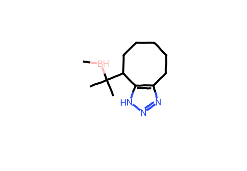 CBC(C)(C)C1CCCCCc2nn[nH]c21